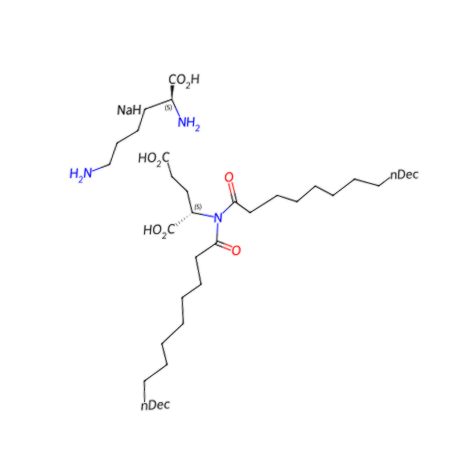 CCCCCCCCCCCCCCCCCC(=O)N(C(=O)CCCCCCCCCCCCCCCCC)[C@@H](CCC(=O)O)C(=O)O.NCCCC[C@H](N)C(=O)O.[NaH]